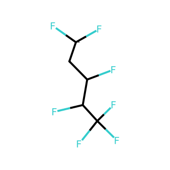 F[C](F)CC(F)C(F)C(F)(F)F